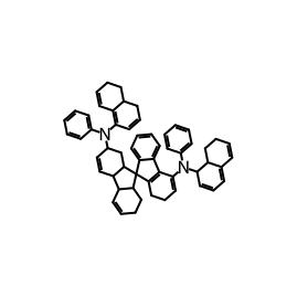 C1=CC(N(C2=CCCC3=C2c2ccccc2C32C3CCC=CC3C3C=CC(N(C4=C5C=CCCC5CC=C4)c4ccccc4)CC32)c2ccccc2)C2CCC=CC2=C1